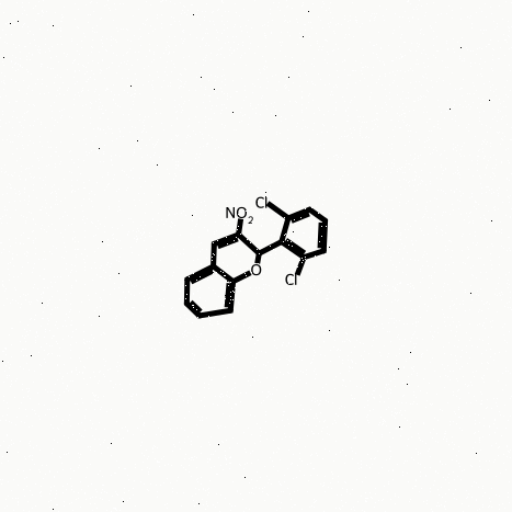 O=[N+]([O-])C1=Cc2ccccc2OC1c1c(Cl)cccc1Cl